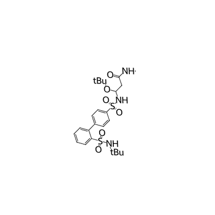 CC(C)(C)NS(=O)(=O)c1ccccc1-c1ccc(S(=O)(=O)NC(CC([NH])=O)OC(C)(C)C)cc1